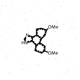 COc1ccc2c(c1)c1cc(OC)ccc1c1[nH]cnc21